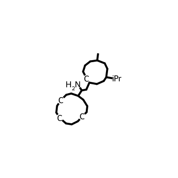 CC1CCCCC(CC(N)C2CCCCCCCCCCCCC2)CCC(C(C)C)CC1